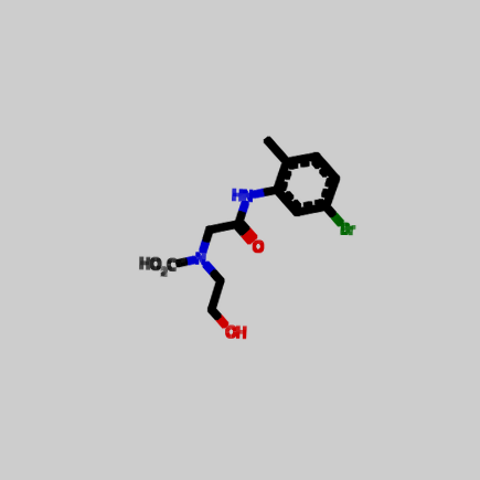 Cc1ccc(Br)cc1NC(=O)CN(CCO)C(=O)O